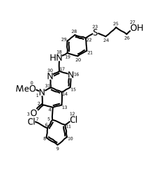 COn1c(=O)c(-c2c(Cl)cccc2Cl)cc2cnc(Nc3ccc(SCCCO)cc3)nc21